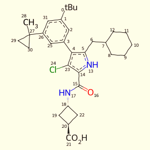 CC(C)(C)c1cc(-c2c(CC3CCCCC3)[nH]c(C(=O)N[C@H]3C[C@H](C(=O)O)C3)c2Cl)cc(C2(C)CC2)c1